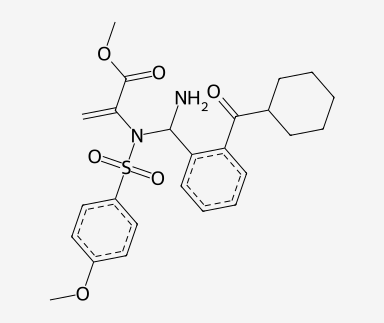 C=C(C(=O)OC)N(C(N)c1ccccc1C(=O)C1CCCCC1)S(=O)(=O)c1ccc(OC)cc1